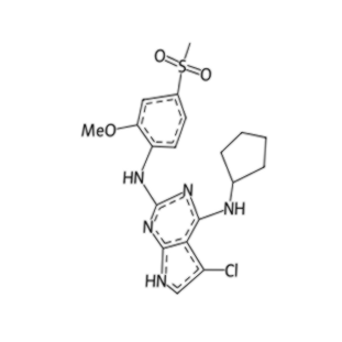 COc1cc(S(C)(=O)=O)ccc1Nc1nc(NC2CCCC2)c2c(Cl)c[nH]c2n1